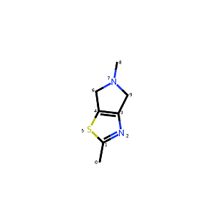 Cc1nc2c(s1)CN(C)C2